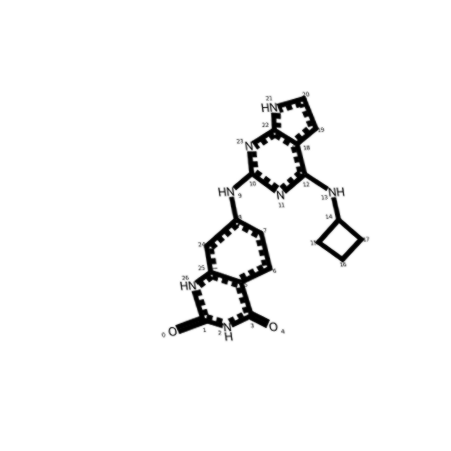 O=c1[nH]c(=O)c2ccc(Nc3nc(NC4CCC4)c4cc[nH]c4n3)cc2[nH]1